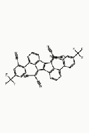 N#CC(C#N)=C1C2=C(C(=C(C#N)C#N)c3c2cccc3-c2ccc(C(F)(F)F)cc2C#N)c2cccc(-c3ccc(C(F)(F)F)cc3C#N)c21